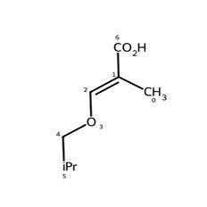 CC(=COCC(C)C)C(=O)O